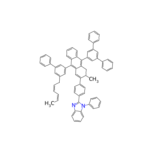 C/C=C\C=C/Cc1cc(-c2ccccc2)cc(-c2c3c(c(-c4cc(-c5ccccc5)cc(-c5ccccc5)c4)c4ccccc24)CC(C)C(c2ccc(-c4nc5ccccc5n4-c4ccccc4)cc2)=C3)c1